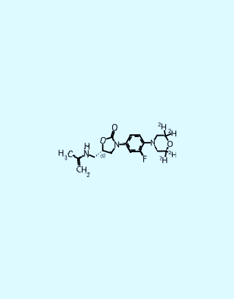 [2H]C1([2H])CN(c2ccc(N3C[C@H](CNC(=C)C)OC3=O)cc2F)CC([2H])([2H])O1